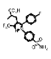 CC(Cc1c(C(F)(F)F)nn(-c2ccc(S(N)(=O)=O)cc2)c1-c1ccc(F)cc1)C(=O)O